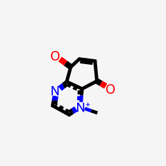 C[n+]1ccnc2c1C(=O)C=CC2=O